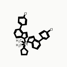 [CH3][Hf]([CH3])(=[C]1CCCC1)([CH]1C=Cc2c(-c3ccc(Cl)cc3)cccc21)[CH]1C=Cc2c(-c3ccc(Cl)cc3)cccc21